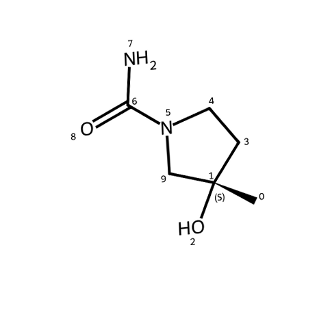 C[C@]1(O)CCN(C(N)=O)C1